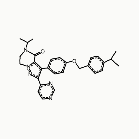 CC(C)c1ccc(COc2ccc(-c3c(-c4ccncn4)nn4c3C(=O)N(C(C)C)CC4)cc2)cc1